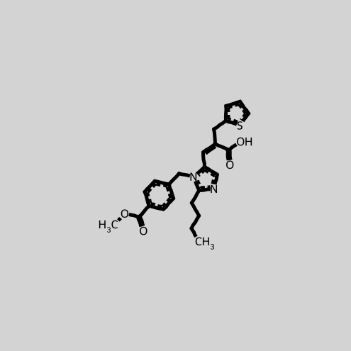 CCCCc1ncc(C=C(Cc2cccs2)C(=O)O)n1Cc1ccc(C(=O)OC)cc1